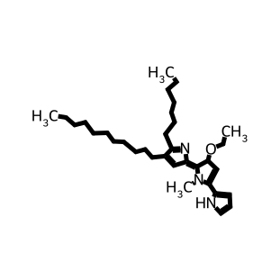 CCCCCCCCCCCC1=CC(=C2C(OCC)C=C(c3ccc[nH]3)N2C)N=C1CCCCCCC